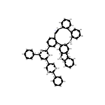 C1=C\c2ccc(-c3nc(-c4ccccc4)cc(-c4cnc(-c5ccccc5)nc4)n3)cc2-c2cc3oc4ccccc4c3cc2Oc2ccccc2-c2ccccc2/1